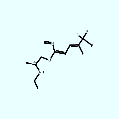 C=N/C(=C\C=C(/C)C(F)(F)F)OC[C@H](C)NCC